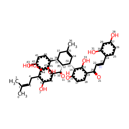 CC(C)=CCc1c(O)cc(C(=O)[C@H]2[C@@H](c3c(O)ccc(C(=O)/C=C/c4ccc(O)cc4O)c3O)C=C(C)C[C@@H]2c2ccc(O)cc2O)cc1O